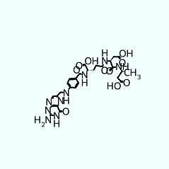 C[C@H](CC(=O)O)NC(=O)[C@H](CC(=O)O)NC(=O)CC[C@H](NC(=O)c1ccc(NCc2cnc3nc(N)[nH]c(=O)c3n2)cc1)C(=O)O